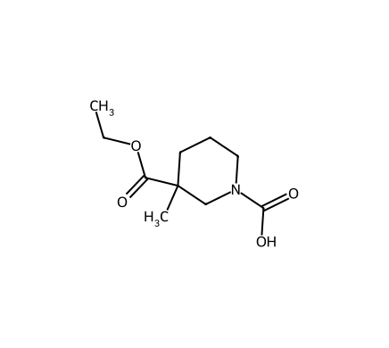 CCOC(=O)C1(C)CCCN(C(=O)O)C1